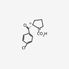 O=C(c1ccc(Cl)cc1)[C@@H]1CCCN1C(=O)O